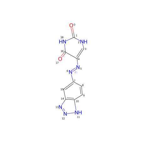 O=c1[nH]cc(/N=N/c2ccc3[nH]nnc3c2)c(=O)[nH]1